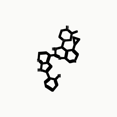 CC1CN(C2NC(c3ccnc4[nH]c(-c5ccccc5Cl)cc34)=Nc3cncc(C4CC4)c32)CCN1